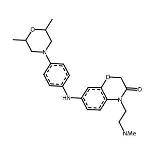 CNCCN1C(=O)COc2cc(Nc3ccc(N4CC(C)OC(C)C4)cc3)ccc21